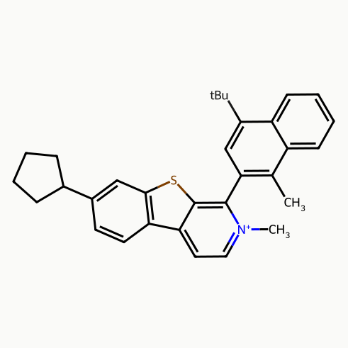 Cc1c(-c2c3sc4cc(C5CCCC5)ccc4c3cc[n+]2C)cc(C(C)(C)C)c2ccccc12